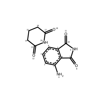 Nc1cccc2c1C(=O)NC2=O.O=C1CCCC(=O)N1